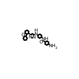 Nc1ccc(C(=O)Nc2ccc(Nc3cc(-c4cccc5oc6ccccc6c45)ncn3)cc2)cc1